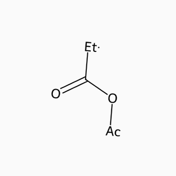 C[CH]C(=O)OC(C)=O